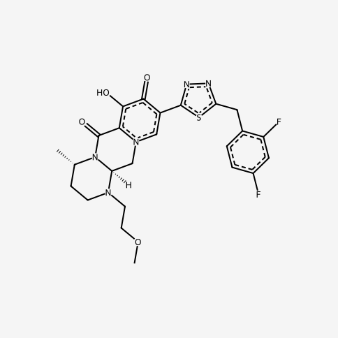 COCCN1CC[C@H](C)N2C(=O)c3c(O)c(=O)c(-c4nnc(Cc5ccc(F)cc5F)s4)cn3C[C@@H]12